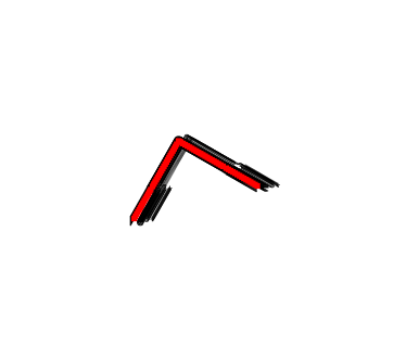 [Fe+3].[Fe+3].[Fe+3].[Fe+3].[Fe+3].[Fe+3].[Fe+3].[Fe+3].[Fe+3].[Fe+3].[Fe+3].[Fe+3].[Fe+3].[Fe+3].[Fe+3].[Fe+3].[Fe+3].[Fe+3].[Fe+3].[Fe+3].[Fe+3].[Fe+3].[Fe+3].[Fe+3].[Fe+3].[Fe+3].[Fe+3].[Fe+3].[Fe+3].[Fe+3].[Fe+3].[Fe+3].[Fe+3].[Fe+3].[Fe+3].[Fe+3].[Fe+3].[Fe+3].[Fe+3].[Fe+3].[Fe+3].[Fe+3].[Fe+3].[Fe+3].[Fe+3].[Fe+3].[Fe+3].[Fe+3].[Fe+3].[Fe+3].[Fe+3].[Fe+3].[Fe+3].[Fe+3].[Fe+3].[Fe+3].[Fe+3].[Fe+3].[Fe+3].[O-2].[O-2].[O-2].[O-2].[O-2].[O-2].[O-2].[O-2].[O-2].[O-2].[O-2].[O-2].[O-2].[O-2].[O-2].[O-2].[O-2].[O-2].[O-2].[O-2].[O-2].[O-2].[O-2].[O-2].[O-2].[O-2].[O-2].[O-2].[O-2].[O-2].[O-2].[O-2].[O-2].[O-2].[O-2].[O-2].[O-2].[O-2].[O-2].[O-2].[O-2].[O-2].[O-2].[O-2].[O-2].[O-2].[O-2].[O-2].[O-2].[O-2].[O-2].[O-2].[O-2].[O-2].[O-2].[O-2].[O-2].[O-2].[O-2].[O-2].[O-2].[O-2].[O-2].[O-2].[O-2].[O-2].[O-2].[O-2].[O-2].[O-2].[O-2].[O-2].[O-2].[O-2].[O-2].[O-2].[O-2].[O-2].[O-2].[O-2].[O-2].[O-2].[O-2].[O-2].[O-2].[O-2]